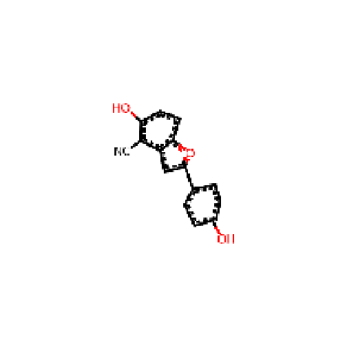 N#Cc1c(O)ccc2oc(-c3ccc(O)cc3)cc12